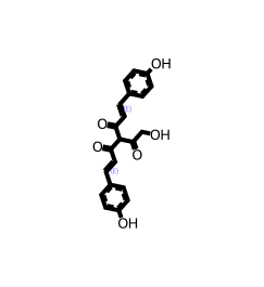 O=C(/C=C/c1ccc(O)cc1)C(C(=O)/C=C/c1ccc(O)cc1)C(=O)CO